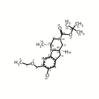 CCOCc1nc2c(cc1Cl)C[C@@H]1CN(C(=O)OC(C)(C)C)C[C@@H](C)N21